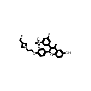 CC1=C(c2cc(F)cc(S(C)(=O)=O)c2)C(c2ccc(OCCN3CC(CF)C3)cc2)Oc2ccc(O)cc21